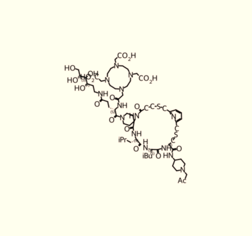 CC[C@H](C)[C@@H]1NC(=O)[C@H](CC(C)C)NC(=O)C2(CCN(C(=O)[C@H](CCC(=O)NCC[C@@H](O)[C@H](O)[C@H](O)CO)NC(=O)CN3CCN(CC(=O)O)CCN(CC(=O)O)CCN(CC(=O)O)CC3)CC2)NC(=O)CCSCc2cccc(n2)CSC[C@@H](C(=O)NC2CCN(CC(C)=O)CC2)NC1=O